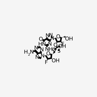 Nc1nc2c(nnn2[C@@H]2O[C@H](CO)[C@@H](F)[C@H]2OP(O)(=S)OC[C@H]2O[C@@H](n3cnc4c(N)ncnc43)[C@@H](F)[C@@H]2O)c(=O)[nH]1